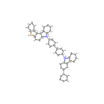 c1ccc(-c2ccc3c(c2)c2ccccc2n3-c2ccc(-c3ccc(-n4c5ccccc5c5c6c(ccc54)sc4ccccc46)cc3)cc2)cc1